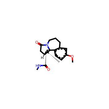 CNC(=O)[C@@H]1[C@@H](C)C[C@@]23c4ccc(OC)cc4CCCN2C(=O)C[C@@H]13